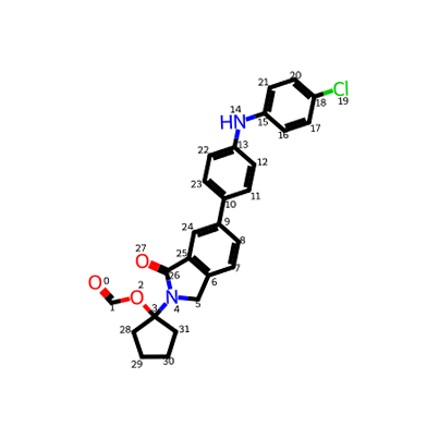 O=COC1(N2Cc3ccc(-c4ccc(Nc5ccc(Cl)cc5)cc4)cc3C2=O)CCCC1